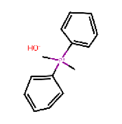 C[P+](C)(c1ccccc1)c1ccccc1.[OH-]